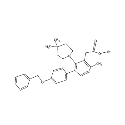 Cc1ncc(-c2ccc(OCc3ccccc3)cc2)c(N2CCC(C)(C)CC2)c1CC(=O)OC(C)C